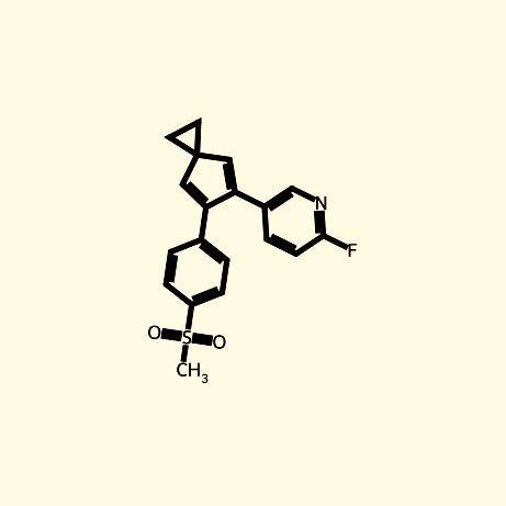 CS(=O)(=O)c1ccc(C2=CC3(C=C2c2ccc(F)nc2)CC3)cc1